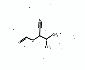 CC(C)C(C#N)O[C]=O